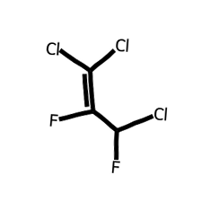 FC(=C(Cl)Cl)C(F)Cl